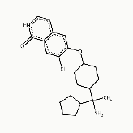 CC(N)(C1CCCC1)C1CCC(Oc2cc3cc[nH]c(=O)c3cc2Cl)CC1